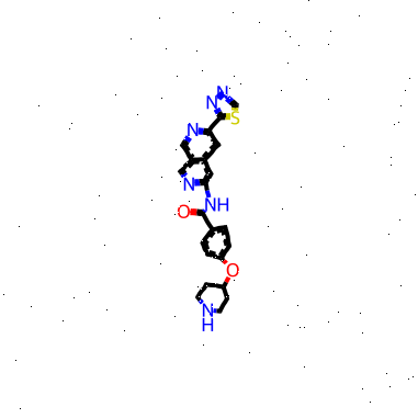 O=C(Nc1cc2cc(-c3nncs3)ncc2cn1)c1ccc(OC2CCNCC2)cc1